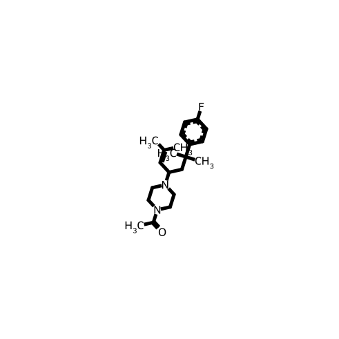 CC(=O)N1CCN(C(C=C(C)C)CC(C)(C)c2ccc(F)cc2)CC1